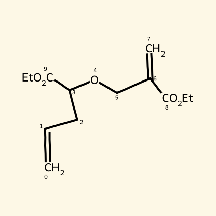 C=CCC(OCC(=C)C(=O)OCC)C(=O)OCC